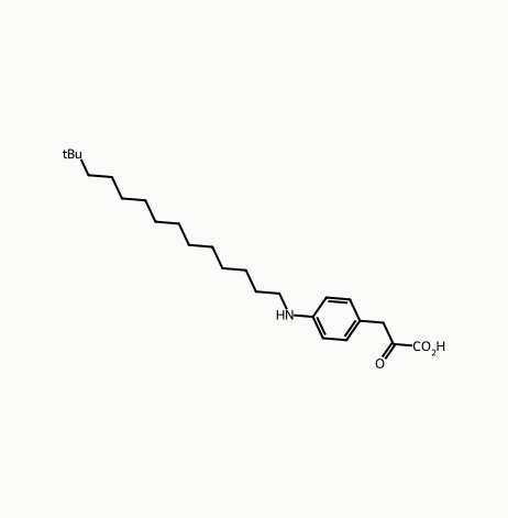 CC(C)(C)CCCCCCCCCCCCNc1ccc(CC(=O)C(=O)O)cc1